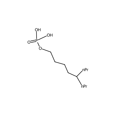 CCCC(CCC)CCCCOP(=O)(O)O